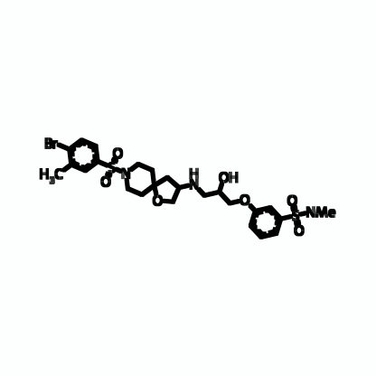 CNS(=O)(=O)c1cccc(OCC(O)CNC2COC3(CCN(S(=O)(=O)c4ccc(Br)c(C)c4)CC3)C2)c1